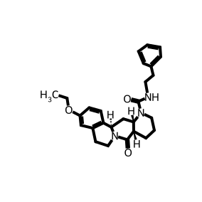 CCOc1ccc2c(c1)CCN1C(=O)[C@H]3CCCN(C(=O)NCCc4ccccc4)[C@H]3C[C@H]21